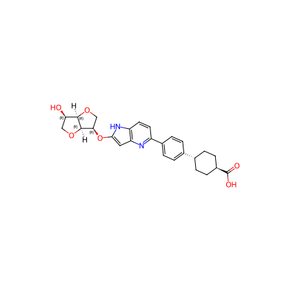 O=C(O)[C@H]1CC[C@H](c2ccc(-c3ccc4[nH]c(O[C@@H]5CO[C@H]6[C@@H]5OC[C@H]6O)cc4n3)cc2)CC1